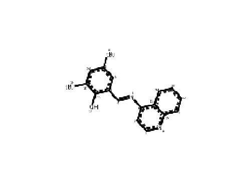 CC(C)(C)c1cc(C=Nc2ccnc3ccccc23)c(O)c(C(C)(C)C)c1